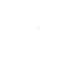 CC(=O)C12CCC(c3ccc(C#N)cc3)(CC1)CC2